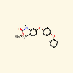 CN(C(=O)OC(C)(C)C)c1cc(Oc2ccc(Oc3ccccc3)cc2)ccc1[N+](=O)[O-]